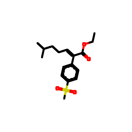 CCOC(=O)/C(=C/CCC(C)C)c1ccc(S(C)(=O)=O)cc1